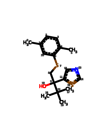 Cc1ccc(C)c(SCC(O)(c2cncs2)C(C)(C)C)c1